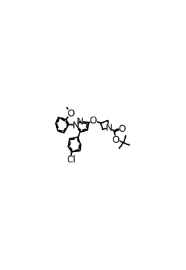 COc1ccccc1-n1nc(OC2CN(C(=O)OC(C)(C)C)C2)cc1-c1ccc(Cl)cc1